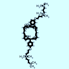 CN(C)CCC[N+](C)(C)CCCOc1ccc(C2=c3ccc([nH]3)=CC3=NC(Cl)(C=C3)C(Cl)(c3ccc(OCCC[N+](C)(C)CCCN(C)C)cc3)c3ccc([nH]3)C=C3C=CC2=N3)cc1